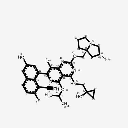 C#Cc1c(F)ccc2cc(O)cc(-c3nc(OC(C)C)c4c(NCC5(O)CC5)nc(OC[C@@]56CCCN5C[C@H](F)C6)nc4c3F)c12